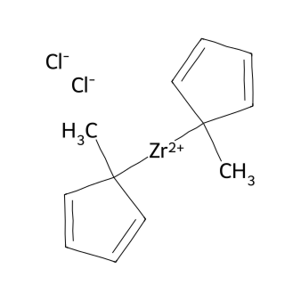 C[C]1([Zr+2][C]2(C)C=CC=C2)C=CC=C1.[Cl-].[Cl-]